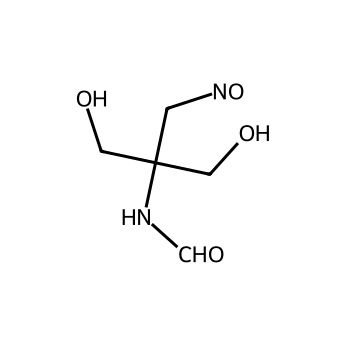 O=CNC(CO)(CO)CN=O